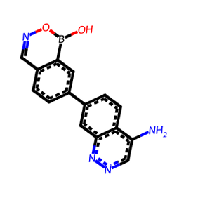 Nc1cnnc2cc(-c3ccc4c(c3)B(O)ON=C4)ccc12